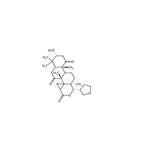 CC(=O)O[C@@H]1CC(=O)[C@@]2(C)C(CC(=O)[C@]3(C)C2CC[C@@]2(C)[C@H](C4CCOC4)OC(=O)C4OC423)C1(C)C